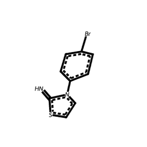 N=c1sccn1-c1ccc(Br)cc1